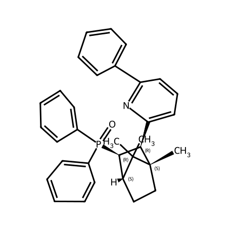 CC1(C)[C@@H]2CC[C@@]1(C)[C@H](c1cccc(-c3ccccc3)n1)[C@@H]2P(=O)(c1ccccc1)c1ccccc1